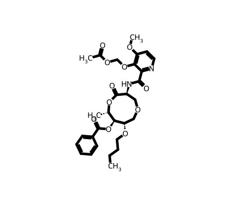 CCCCO[C@H]1COC[C@H](NC(=O)c2nccc(OC)c2OCOC(C)=O)C(=O)O[C@@H](C)[C@@H]1OC(=O)c1ccccc1